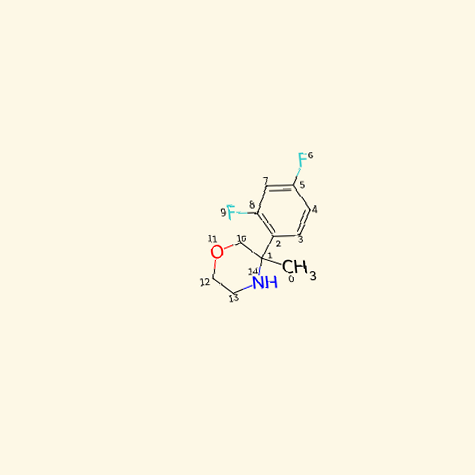 CC1(c2ccc(F)cc2F)COCCN1